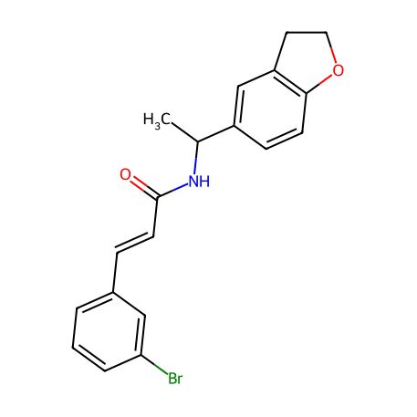 CC(NC(=O)C=Cc1cccc(Br)c1)c1ccc2c(c1)CCO2